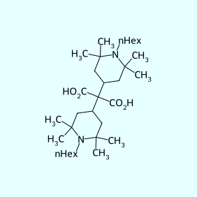 CCCCCCN1C(C)(C)CC(C(C(=O)O)(C(=O)O)C2CC(C)(C)N(CCCCCC)C(C)(C)C2)CC1(C)C